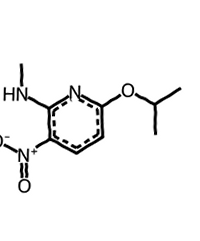 CNc1nc(OC(C)C)ccc1[N+](=O)[O-]